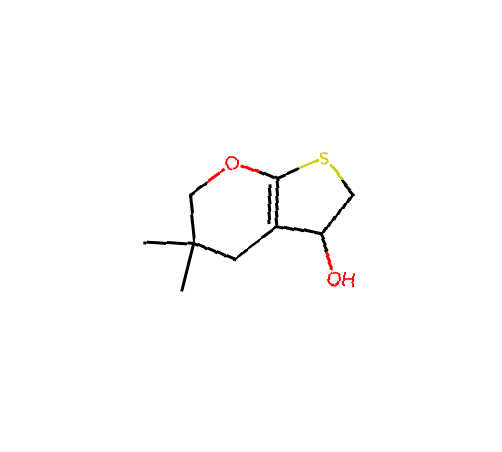 CC1(C)COC2=C(C1)C(O)CS2